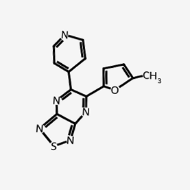 Cc1ccc(-c2nc3nsnc3nc2-c2ccncc2)o1